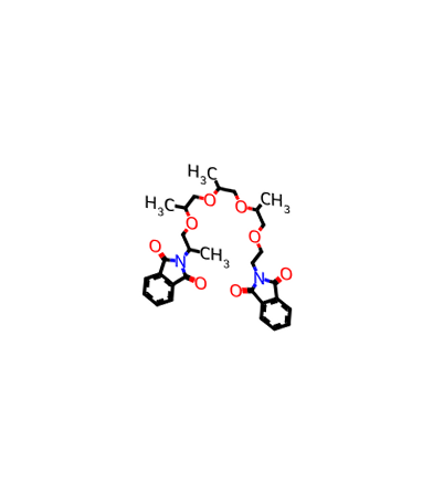 CC(COCCN1C(=O)c2ccccc2C1=O)OCC(C)OCC(C)OCC(C)N1C(=O)c2ccccc2C1=O